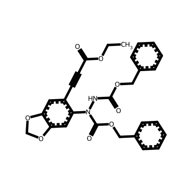 CCOC(=O)C#Cc1cc2c(cc1N(NC(=O)OCc1ccccc1)C(=O)OCc1ccccc1)OCO2